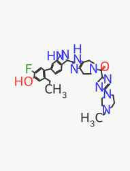 CCc1cc(O)c(F)cc1-c1ccc2c(-c3nc4c([nH]3)CCN(C(=O)c3cnc(N5CCCN(CC)CC5)cn3)CC4)n[nH]c2c1